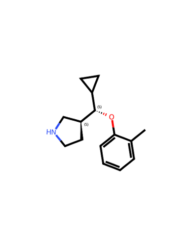 Cc1ccccc1O[C@@H](C1CC1)[C@H]1CCNC1